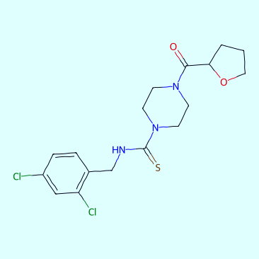 O=C(C1CCCO1)N1CCN(C(=S)NCc2ccc(Cl)cc2Cl)CC1